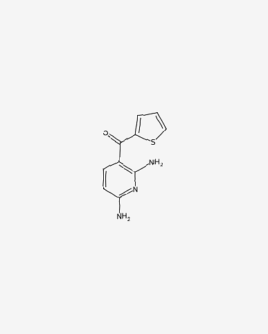 Nc1ccc(C(=O)c2cccs2)c(N)n1